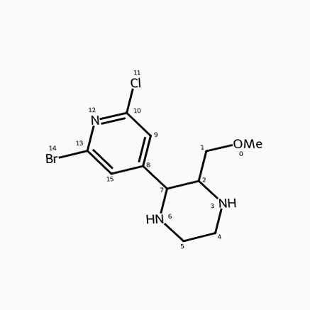 COCC1NCCNC1c1cc(Cl)nc(Br)c1